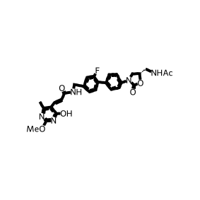 COc1nc(C)c(C=CC(=O)NCc2ccc(-c3ccc(N4C[C@H](CNC(C)=O)OC4=O)cc3)c(F)c2)c(O)n1